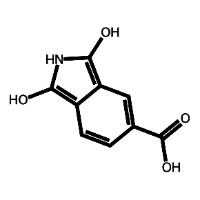 O=C(O)c1ccc2c(O)[nH]c(O)c2c1